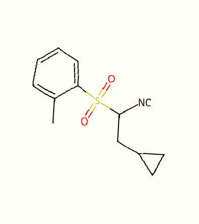 [C-]#[N+]C(CC1CC1)S(=O)(=O)c1ccccc1C